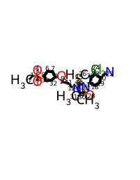 CCS(=O)(=O)c1ccc(OCCCN2C(=S)N(c3ccc(C#N)c(Cl)c3C)C(=O)C2(C)C)cc1